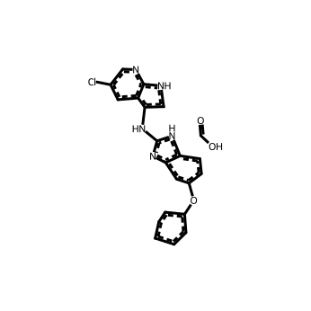 Clc1cnc2[nH]cc(Nc3nc4cc(Oc5ccccc5)ccc4[nH]3)c2c1.O=CO